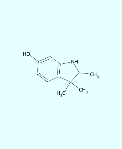 CC1Nc2cc(O)ccc2C1(C)C